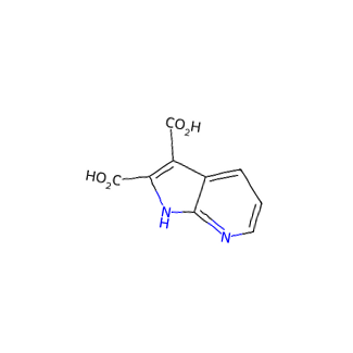 O=C(O)c1[nH]c2ncccc2c1C(=O)O